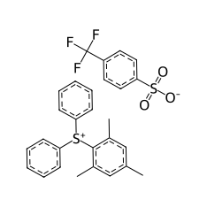 Cc1cc(C)c([S+](c2ccccc2)c2ccccc2)c(C)c1.O=S(=O)([O-])c1ccc(C(F)(F)F)cc1